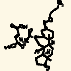 C[C@]12CCC(=NOCCN)CC1[C@@H](C(N)=O)C[C@@H]1[C@@H]2CC[C@]2(C)C(=O)CC[C@@H]12.O=C(O)/C=C/C(=O)O